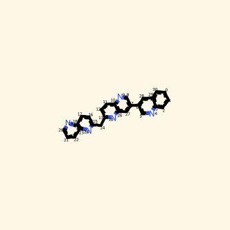 c1ccc2ncc(-c3cnc4ccc(Cc5ccc6ncccc6n5)nc4c3)cc2c1